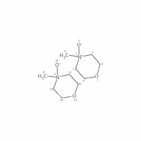 C[N+]1([O-])CCOCC1.C[N+]1([O-])CCOCC1